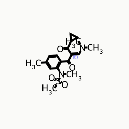 Cc1ccc(C(=O)/C(=C/N(C)C)C(=O)C2CC2)c(N(C)S(C)(=O)=O)c1